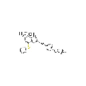 CCOC(=O)c1ccc(C#Cc2ccc3c(c2)C(Sc2ccccc2)=CCC3(C)C)cc1